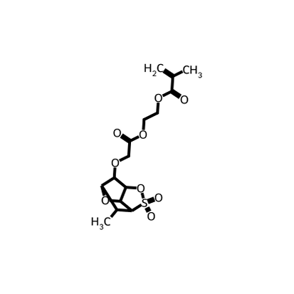 C=C(C)C(=O)OCCOC(=O)COC1C2OC3C1OS(=O)(=O)C3C2C